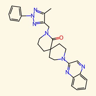 Cc1nn(-c2ccccc2)nc1CN1CCCC2(CCN(c3cnc4ccccc4n3)CC2)C1=O